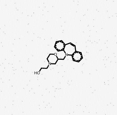 OCCN1CCOC(CN2c3ccccc3C=Cc3ccccc32)C1